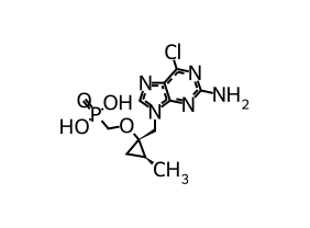 C[C@H]1C[C@]1(Cn1cnc2c(Cl)nc(N)nc21)OCP(=O)(O)O